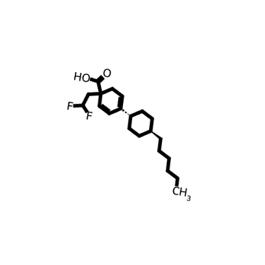 CCCCCC[C@H]1CC[C@H](C2=CCC(CC(F)F)(C(=O)O)C=C2)CC1